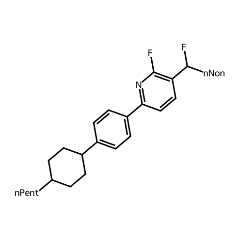 CCCCCCCCCC(F)c1ccc(-c2ccc(C3CCC(CCCCC)CC3)cc2)nc1F